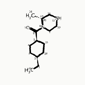 CC[C@H]1CC[C@@H](C(=O)N2CCNC[C@H]2C)CC1